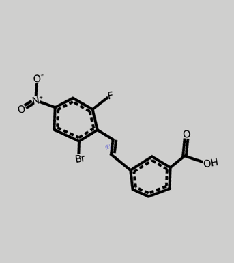 O=C(O)c1cccc(/C=C/c2c(F)cc([N+](=O)[O-])cc2Br)c1